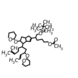 CC=CC(CC(CCC=C(C)C)C1C(OC2CCCCO2)CC2CC(C(CCCCOC(C)=O)CO[Si](C)(C)C(C)(C)C)=CC21)OC1CCCCO1